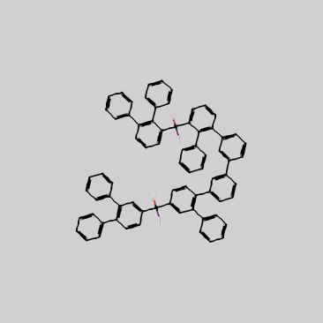 OC(I)(c1ccc(-c2ccccc2)c(-c2ccccc2)c1)c1ccc(-c2cccc(-c3cccc(-c4cccc(C(O)(I)c5cccc(-c6ccccc6)c5-c5ccccc5)c4-c4ccccc4)c3)c2)c(-c2ccccc2)c1